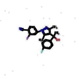 Cc1nn(-c2ccc(C#N)c(I)c2)c(C)c1C(C)(O)c1ccc(F)cc1